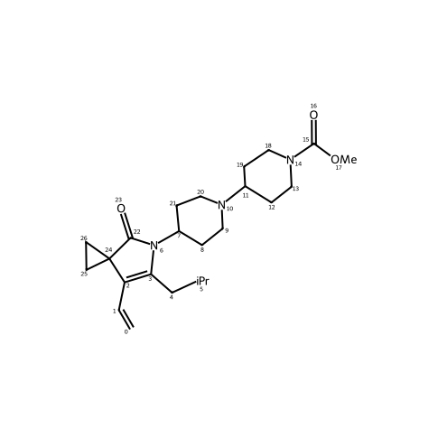 C=CC1=C(CC(C)C)N(C2CCN(C3CCN(C(=O)OC)CC3)CC2)C(=O)C12CC2